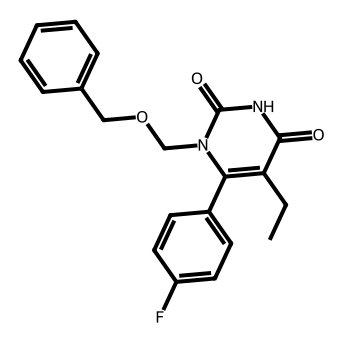 CCc1c(-c2ccc(F)cc2)n(COCc2ccccc2)c(=O)[nH]c1=O